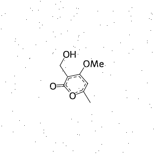 COc1cc(C)oc(=O)c1CO